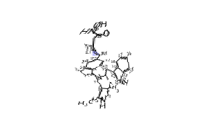 Cc1c[nH]c(C)c1CN(CCc1c[nH]c2ccccc12)C1CCc2cc(/C=C/C(=O)NO)ccc21